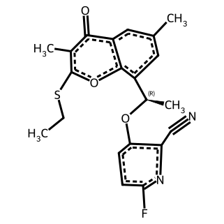 CCSc1oc2c([C@@H](C)Oc3ccc(F)nc3C#N)cc(C)cc2c(=O)c1C